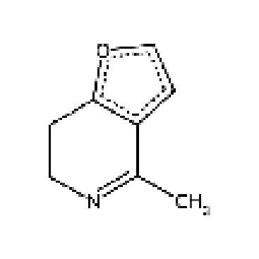 CC1=NCCc2occc21